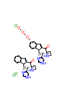 C[O-].C[O-].C[O-].O=C(C1=Cc2ccccc2[CH]1[Zr+3])[C@@]1(Cc2c[nH]cn2)CCN1.O=C(C1=Cc2ccccc2[CH]1[Zr+3])[C@@]1(Cc2c[nH]cn2)CCN1.[Cl-].[Cl-].[Cl-]